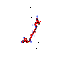 N#Cc1cc(Cl)cc2c1C[C@H](N1CCCNCC1)[C@H]2Oc1ccc(S(=O)(=O)N[C@H]2CCN(CCOCCNC(=O)NCCCCNC(=O)NCCOCCN3CC[C@H](NS(=O)(=O)c4ccc(O[C@H]5c6cc(Cl)cc(C#N)c6C[C@@H]5N5CCCNCC5)cc4)C3)C2)cc1